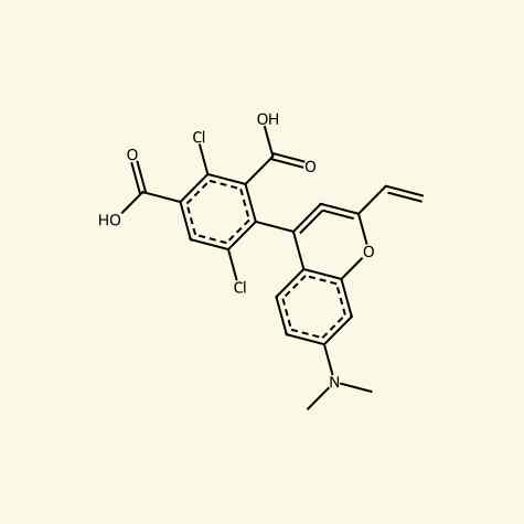 C=CC1=C=C(c2c(Cl)cc(C(=O)O)c(Cl)c2C(=O)O)c2ccc(N(C)C)cc2O1